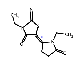 CCN1C(=O)/C(=C2\SCC(=O)N2CC)SC1=S